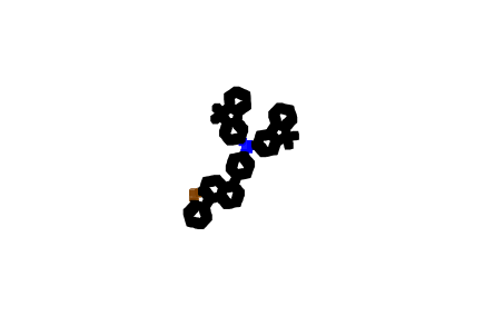 CC1(C)c2ccccc2-c2cc(N(c3ccc(-c4cccc5c4ccc4sc6ccccc6c45)cc3)c3ccc4c(c3)-c3ccccc3C4(C)C)ccc21